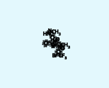 Cc1nc[nH]c1-c1ccc(-n2c(=O)c3c(n4ncc(Cc5ccccc5)c24)CN(C(=O)c2ccc(Br)c(C(F)(F)F)c2)C(C)C3)cc1